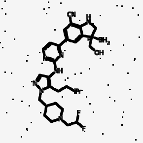 B[C@]1(CO)CNc2c(C#N)cc(-c3ccnc(Nc4cnn(CC5CCN(CC(F)F)CC5)c4CCC(C)C)n3)cc21